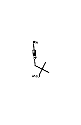 COC(C)(C)C[N+]#CC(C)(C)C